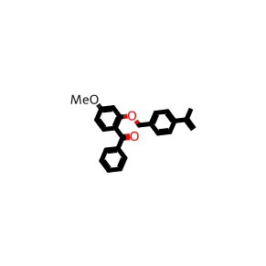 C=C(C)c1ccc(COc2cc(OC)ccc2C(=O)c2ccccc2)cc1